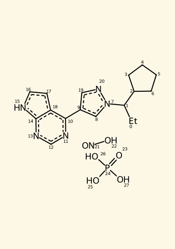 CCC(C1CCCC1)n1cc(-c2ncnc3[nH]ccc23)cn1.O=NO.O=P(O)(O)O